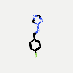 Fc1ccc(C=Nn2cncn2)cc1